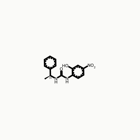 C[C@H](NC(=O)Nc1ccc([N+](=O)[O-])cc1O)c1ccccc1